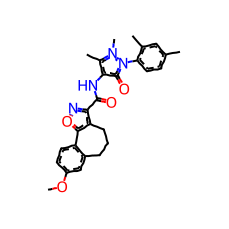 COc1ccc2c(c1)CCCc1c(C(=O)Nc3c(C)n(C)n(-c4ccc(C)cc4C)c3=O)noc1-2